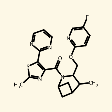 Cc1nc(C(=O)N2C3CC(C3)C(C)C2COc2ccc(F)cn2)c(-c2ncccn2)s1